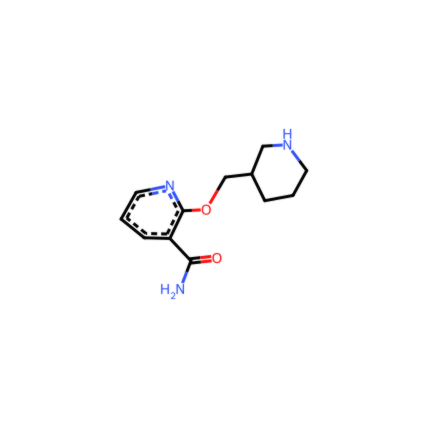 NC(=O)c1cccnc1OCC1CCCNC1